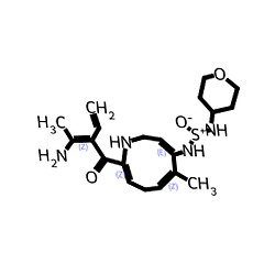 C=C/C(C(=O)/C1=C/C/C=C(C)\C(N[S+]([O-])NC2CCOCC2)=C/CN1)=C(\C)N